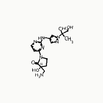 CC(C)(CO)n1cc(Nc2nccc(N3CC[C@](O)(CN)C3=O)n2)cn1